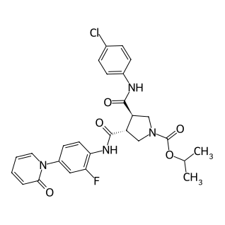 CC(C)OC(=O)N1C[C@H](C(=O)Nc2ccc(Cl)cc2)[C@@H](C(=O)Nc2ccc(-n3ccccc3=O)cc2F)C1